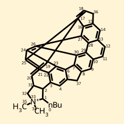 CCCCC1C2c3cc4c5c6c(cc7ccc8cc9c%10c%11c(cc(c%12c3c5c(c%12%11)c3c%10c8c7c63)C2C[N+]1(C)C)C9)C4